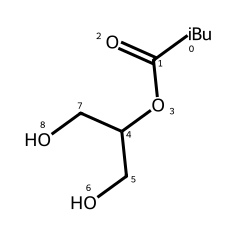 CCC(C)C(=O)OC(CO)CO